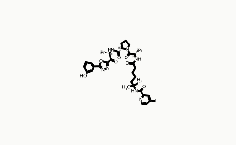 CC(C)[C@H](NC(=O)[C@@H]1CCCN1C(=O)[C@@H](NC(=O)CCCCC(C)(C)NC(=O)c1cc(I)ccn1)C(C)C)C(=O)c1nnc(-c2cccc(O)c2)o1